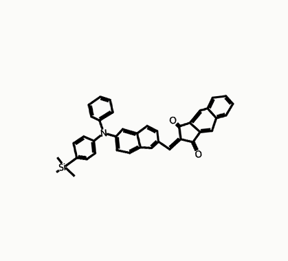 C[Si](C)(C)c1ccc(N(c2ccccc2)c2ccc3cc(C=C4C(=O)c5cc6ccccc6cc5C4=O)ccc3c2)cc1